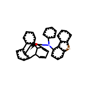 C1=CC2c3cccc4c3-c3cccc(N(c5ccccc5)c5cccc6sc7ccccc7c56)c3C(=C1)C2c1ccccc1-4